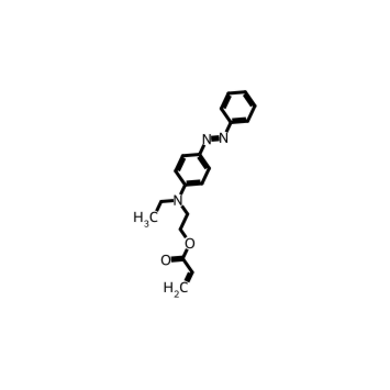 C=CC(=O)OCCN(CC)c1ccc(/N=N/c2ccccc2)cc1